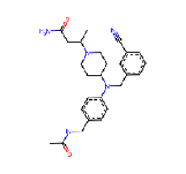 CC(=O)NCc1ccc(N(Cc2cccc(C#N)c2)C2CCN(C(C)CC(N)=O)CC2)cc1